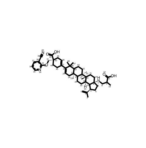 C=C(C)[C@@H]1CC[C@]2(NCC(C)C(=O)O)CC[C@]3(C)[C@H](CCC4[C@@]5(C)CC=C(C6=CC[C@](COc7ncccc7C#N)(C(=O)O)CC6)C(C)(C)C5CC[C@]43C)C12